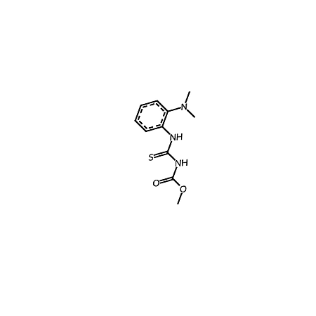 COC(=O)NC(=S)Nc1ccccc1N(C)C